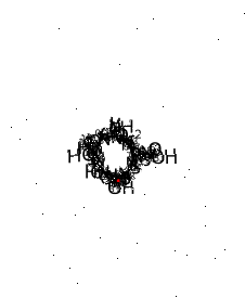 Cc1sc2nc1C(=O)N[C@@H]([C@H](O)c1ccccc1)c1nc(cs1)C(=O)NC(=O)N1C[C@H](O)[C@H](C)[C@H]1c1nc(cs1)-c1nc(cs1)-c1nc(-c3nc(C(=O)O)cs3)ccc1-c1nc(cs1)C(=O)N[C@H]2CC(N)=O